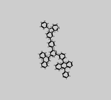 c1ccc(-c2c3ccccc3c(-c3cccc(-c4nc(-c5ccc(-c6ccc7c(c6)c6cnccc6n7-c6ccccc6)cc5)cc(-c5cc6ccccc6c6ccccc56)n4)c3)c3ccccc23)cc1